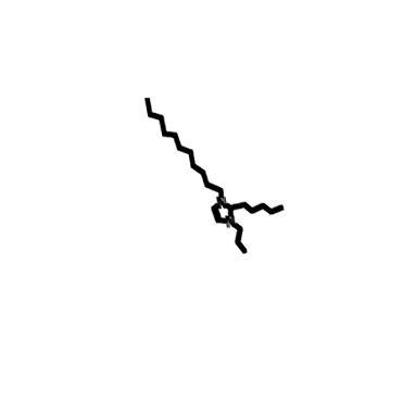 CCCCCCCCCCCN1C=CN(CCC)C1CCCCC